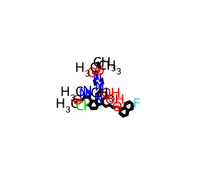 COCc1c(-c2c(Cl)ccc3c(CCCOc4cccc5cc(F)ccc45)c(C(O)O)n(CCN4CCN(C(=O)OC(C)(C)C)CC4)c23)c(C)nn1C